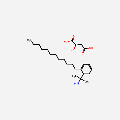 CCCCCCCCCCCCc1ccccc1C(C)(C)N.O=C(O)CC(O)C(=O)O